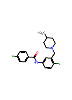 O=C(Nc1ccc(Cl)c(CN2CCC(C(=O)O)CC2)c1)c1ccc(F)cc1